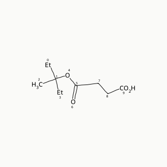 CCC(C)(CC)OC(=O)CCC(=O)O